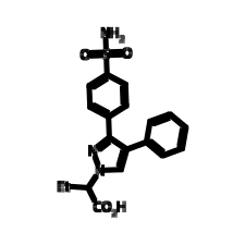 CCC(C(=O)O)n1cc(-c2ccccc2)c(-c2ccc(S(N)(=O)=O)cc2)n1